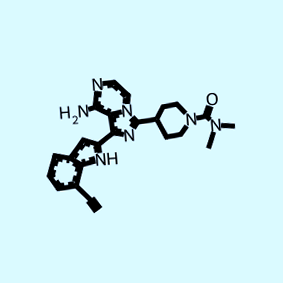 C#Cc1cccc2cc(-c3nc(C4CCN(C(=O)N(C)C)CC4)n4ccnc(N)c34)[nH]c12